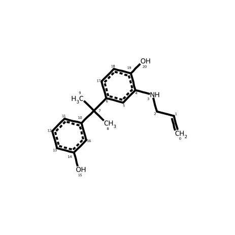 C=CCNc1cc(C(C)(C)c2cccc(O)c2)ccc1O